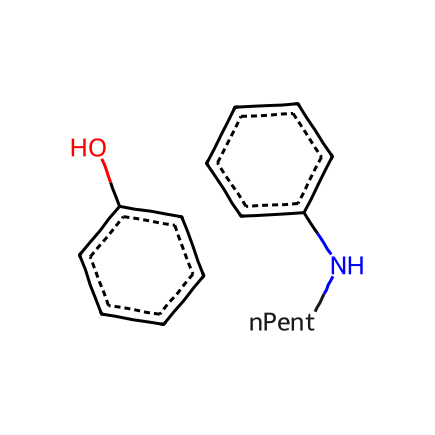 CCCCCNc1ccccc1.Oc1ccccc1